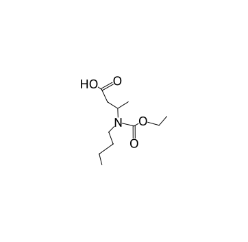 CCCCN(C(=O)OCC)C(C)CC(=O)O